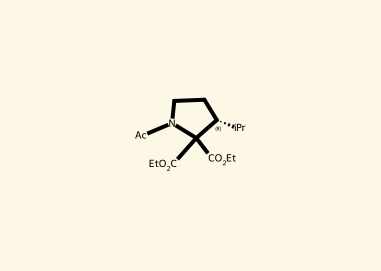 CCOC(=O)C1(C(=O)OCC)[C@@H](C(C)C)CCN1C(C)=O